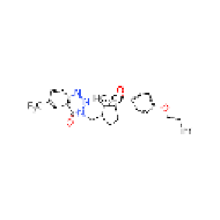 CC(C)CCOc1ccc(C(=O)C2CCC(Cn3nnc4ccc(C(F)(F)F)cc4c3=O)C2C(=O)O)cc1